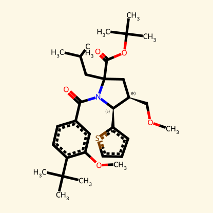 COC[C@@H]1CC(CC(C)C)(C(=O)OC(C)(C)C)N(C(=O)c2ccc(C(C)(C)C)c(OC)c2)[C@@H]1c1cccs1